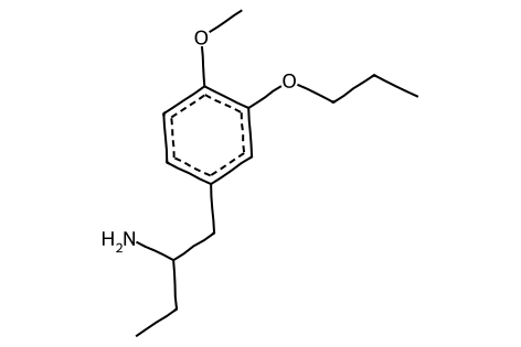 CCCOc1cc(CC(N)CC)ccc1OC